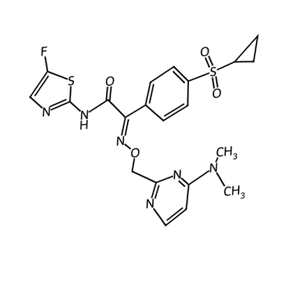 CN(C)c1ccnc(CO/N=C(/C(=O)Nc2ncc(F)s2)c2ccc(S(=O)(=O)C3CC3)cc2)n1